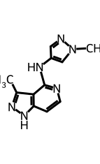 Cc1n[nH]c2ccnc(Nc3cnn(C)c3)c12